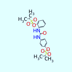 CC(C)S(=O)(=O)Oc1ccc(NC(=O)Nc2ccccc2OS(=O)(=O)C(C)C)cc1